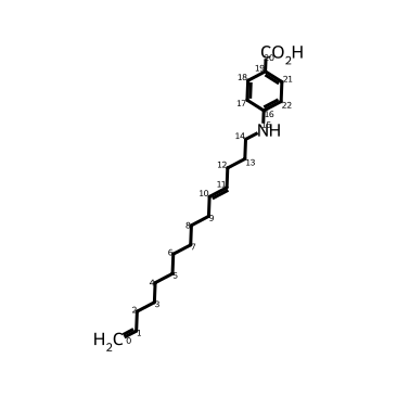 C=CCCCCCCCCC=CCCCNc1ccc(C(=O)O)cc1